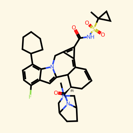 CN1CC2CCC(C1)N2C(=O)[C@@H]1CC=CC2=C3C(=C3C(=O)NS(=O)(=O)C3(C)CC3)Cn3c(cc4c(F)ccc(C5CCCCC5)c43)C21